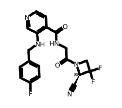 N#C[C@H]1N(C(=O)CNC(=O)c2ccncc2NCc2ccc(F)cc2)CC1(F)F